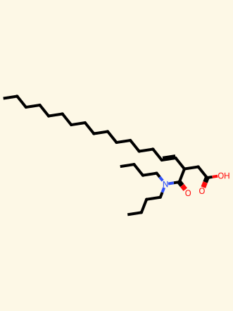 CCCCCCCCCCCCCCC=CC(CC(=O)O)C(=O)N(CCCC)CCCC